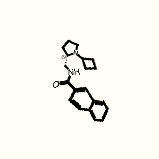 O=C(NC[C@@H]1CCCN1C1CCC1)c1ccc2ccccc2c1